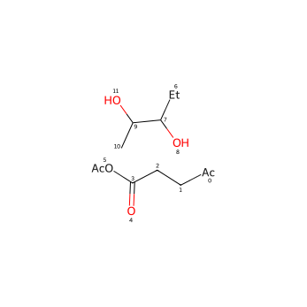 CC(=O)CCC(=O)OC(C)=O.CCC(O)C(C)O